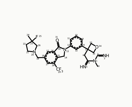 CN(C=N)C(=N)CC1(c2cccc(N3Cc4c(cc(CN5CCC(C)(F)C5)cc4C(F)(F)F)C3=O)c2)COC1